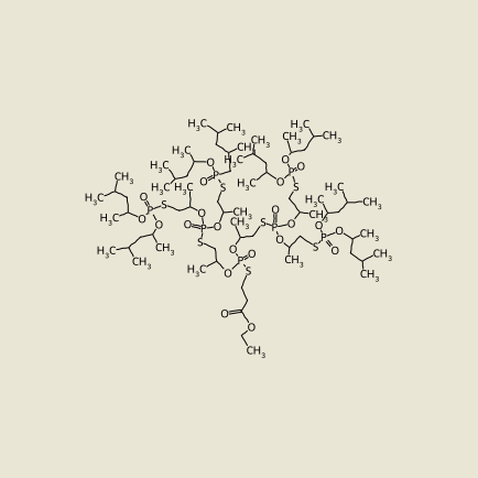 CCOC(=O)CCSP(=O)(OC(C)CSP(=O)(OC(C)CSP(=O)(CC(C)CC(C)C)OC(C)CC(C)C)OC(C)CSP(=O)(OC(C)CC(C)C)OC(C)CC(C)C)OC(C)CSP(=O)(OC(C)CSP(=O)(OC(C)CC(C)C)OC(C)CC(C)C)OC(C)CSP(=O)(OC(C)CC(C)C)OC(C)CC(C)C